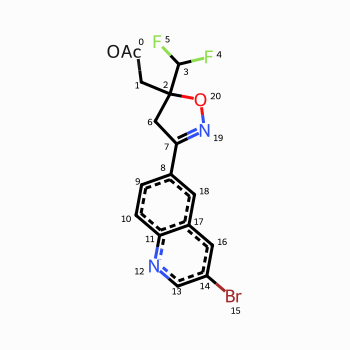 CC(=O)OCC1(C(F)F)CC(c2ccc3ncc(Br)cc3c2)=NO1